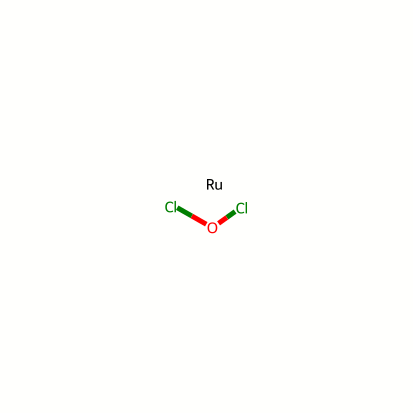 ClOCl.[Ru]